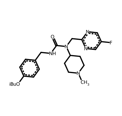 CC(C)COc1ccc(CNC(=O)N(Cc2ncc(F)cn2)C2CCN(C)CC2)cc1